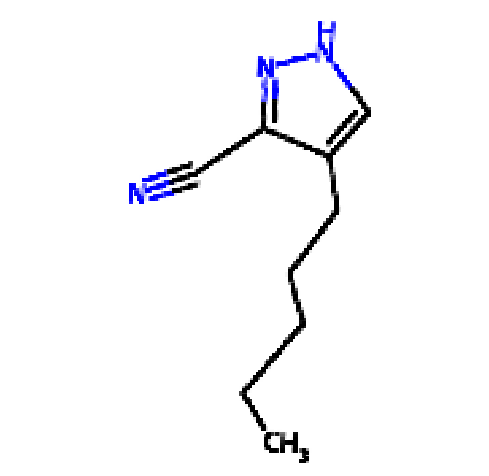 CCCCCc1c[nH]nc1C#N